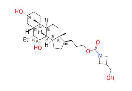 CC[C@H]1[C@@H](O)[C@@H]2[C@H](CC[C@]3(C)[C@@H](CCCOC(=O)N4CC(CO)C4)CC[C@@H]23)[C@@]2(C)CC[C@@H](O)C[C@@H]12